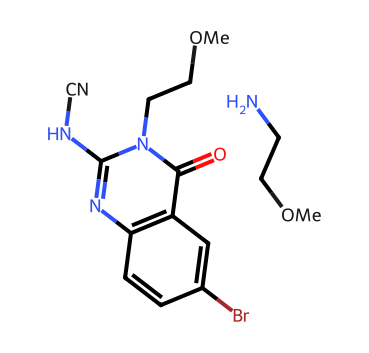 COCCN.COCCn1c(NC#N)nc2ccc(Br)cc2c1=O